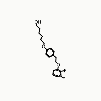 OCCCCCCOc1ccc(CCOc2cccc(F)c2F)cc1